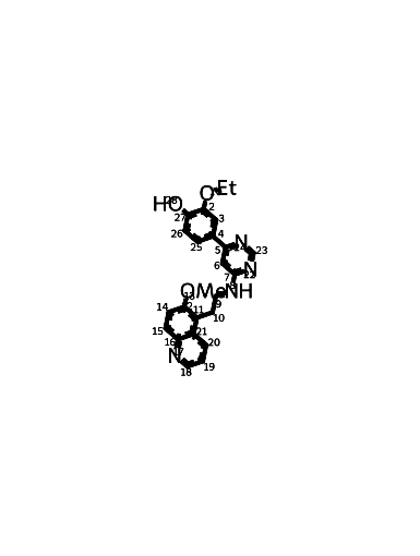 CCOc1cc(-c2cc(NCCc3c(OC)ccc4ncccc34)ncn2)ccc1O